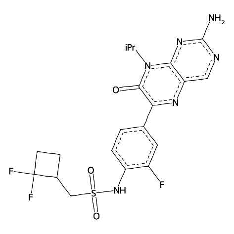 CC(C)n1c(=O)c(-c2ccc(NS(=O)(=O)CC3CCC3(F)F)c(F)c2)nc2cnc(N)nc21